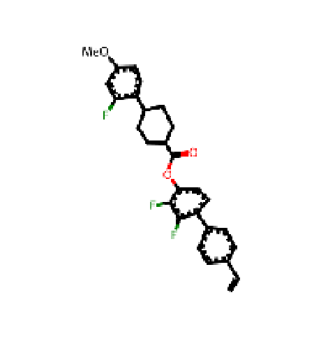 C=Cc1ccc(-c2ccc(OC(=O)C3CCC(c4ccc(OC)cc4F)CC3)c(F)c2F)cc1